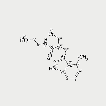 Cc1cccc2[nH]cc(S[C@H](CC(C)C)C(=O)NCCO)c12